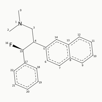 CN(C)CC(c1ccc2ccccc2c1)[C@H](F)c1ccccc1